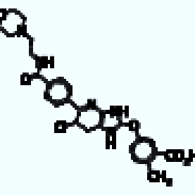 Cc1ccc(OC2NC3=C(N=C(c4ccc(C(=O)NCCN5CCOCC5)cc4)C(Cl)C3)N2)cc1C(=O)O